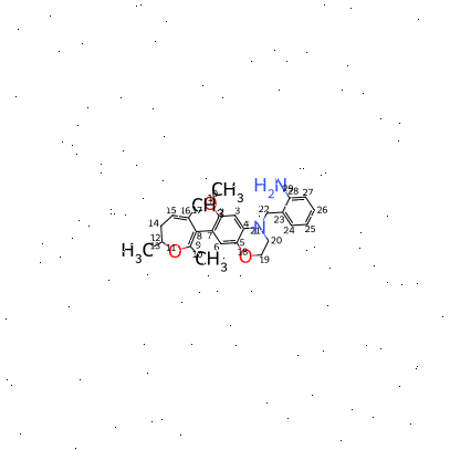 COc1cc2c(cc1C1=C(C)OC(C)CC=C1C)OCCN2Cc1ccccc1N